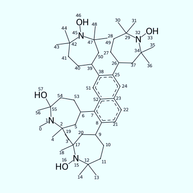 CN1C(C)(C)CC(c2c(C3CCC(C)(C)N(O)C(C)(C)C3)ccc3cc(C4CCC(C)(C)N(O)C(C)(C)C4)c(C4CCC(C)(C)N(O)C(C)(C)C4)cc23)CCC1(C)O